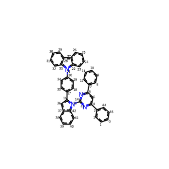 c1ccc(-c2cc(-c3ccccc3)nc(-n3c(-c4ccc(-n5c6ccccc6c6ccccc65)cc4)cc4ccccc43)n2)cc1